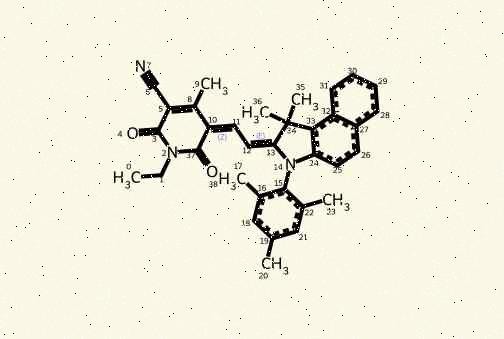 CCN1C(=O)C(C#N)=C(C)/C(=C/C=C2/N(c3c(C)cc(C)cc3C)c3ccc4ccccc4c3C2(C)C)C1=O